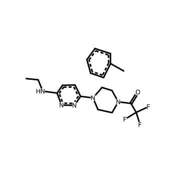 CCNc1ccc(N2CCN(C(=O)C(F)(F)F)CC2)nn1.Cc1ccccc1